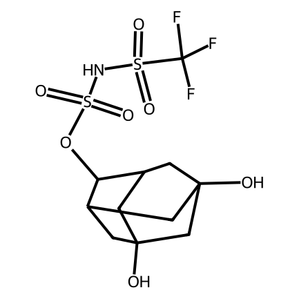 O=S(=O)(NS(=O)(=O)C(F)(F)F)OC1C2CC3(O)CC1CC(O)(C2)C3